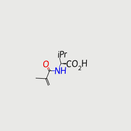 C=C(C)C(=O)N[C@H](C(=O)O)C(C)C